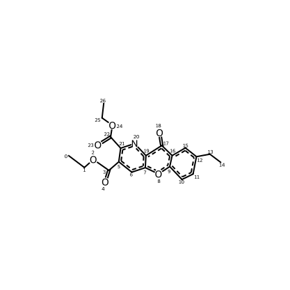 CCOC(=O)c1cc2oc3ccc(CC)cc3c(=O)c2nc1C(=O)OCC